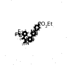 C=C(c1ccccc1OC(F)F)c1c(C)nc2cnc(-c3cnc(N4CCC(C(=O)OCC)CC4)nc3)cn12